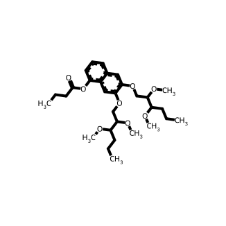 CCCC(=O)Oc1cccc2cc(OCC(OC)C(CCC)OC)c(OCC(OC)C(CCC)OC)cc12